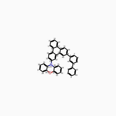 c1ccc(-c2cccc(-c3ccc4c5ccccc5c5ccc(N6c7ccccc7Oc7ccccc76)cc5c4c3)c2)cc1